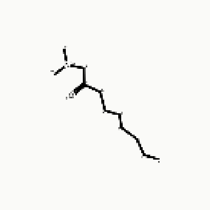 CCCCCCCC(=O)CN(C)C